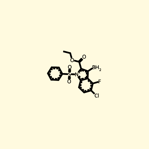 Bc1c(C(=O)OCC)n(S(=O)(=O)c2ccccc2)c2ccc(Cl)c(F)c12